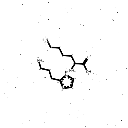 NCCCCC(N)C(=O)O.NCCCc1ncc[nH]1